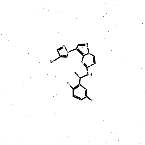 C[C@@H](Nc1ccn2ncc(-n3cc(Br)cn3)c2n1)c1cc(F)ccc1F